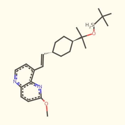 COc1ccc2nccc(C=C[C@H]3CC[C@H](C(C)(C)O[SiH2]C(C)(C)C)CC3)c2n1